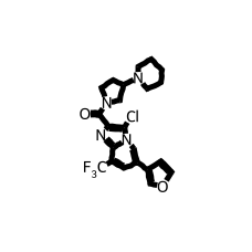 O=C(c1nc2c(C(F)(F)F)cc(-c3ccoc3)cn2c1Cl)N1CCC(N2CCCCC2)C1